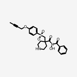 CC#CCOc1ccc(S(=O)(=O)CC2(C(=O)N(O)C(=O)c3ccccc3)CCNCC2)cc1